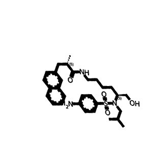 CC(C)CN([C@H](CO)CCCCNC(=O)[C@@H](C)Cc1ccc2ccccc2c1)S(=O)(=O)c1ccc(N)cc1